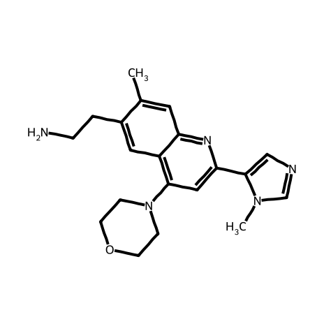 Cc1cc2nc(-c3cncn3C)cc(N3CCOCC3)c2cc1CCN